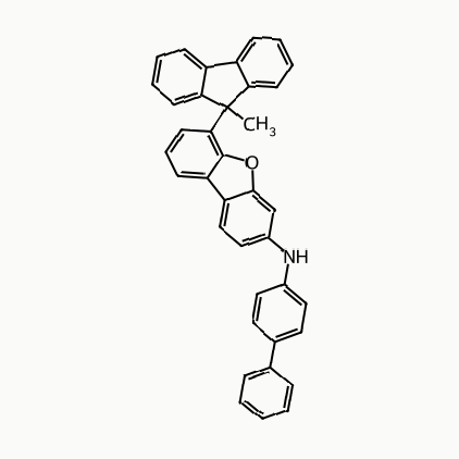 CC1(c2cccc3c2oc2cc(Nc4ccc(-c5ccccc5)cc4)ccc23)c2ccccc2-c2ccccc21